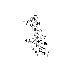 CN(C)C(=O)[C@@H](NC(=O)CNC(=O)C(=O)C(CC1CC1)NC(=O)C1[C@@H]2C(CN1C(=O)C(NC(=O)OC(C)(C)C(F)(F)F)C(C)(C)C)C2(C)C)c1ccccc1